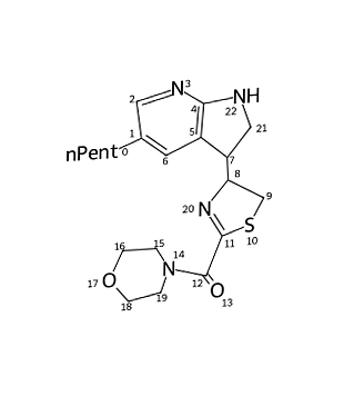 CCCCCc1cnc2c(c1)C(C1CSC(C(=O)N3CCOCC3)=N1)CN2